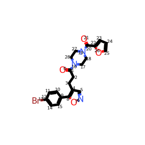 O=C(CCc1cnoc1-c1ccc(Br)cc1)N1CCN(C(=O)c2ccco2)CC1